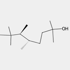 C[C@@H](CCC(C)(C)O)[C@H](C)C(C)(C)C